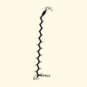 [CH2]C#CCCCCCCCCCCCCCCCCCC(CC)CCCCC[CH2]